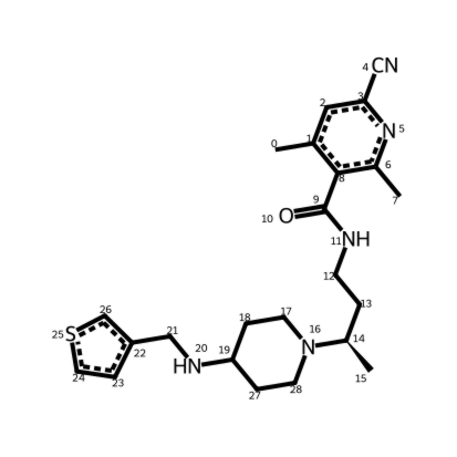 Cc1cc(C#N)nc(C)c1C(=O)NCC[C@@H](C)N1CCC(NCc2ccsc2)CC1